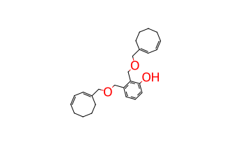 Oc1cccc(COCC2=CC=CCCCC2)c1COCC1=CC=CCCCC1